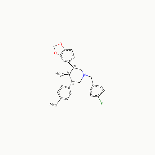 COc1ccc([C@H]2CN(Cc3ccc(F)cc3)C[C@H](c3ccc4c(c3)OCO4)[C@@H]2C(=O)O)cc1